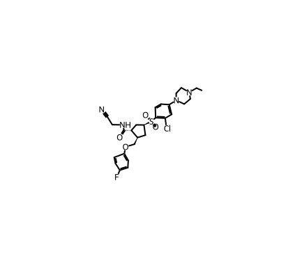 CCN1CCN(c2ccc(S(=O)(=O)[C@H]3C[C@@H](COc4ccc(F)cc4)[C@H](C(=O)NCC#N)C3)c(Cl)c2)CC1